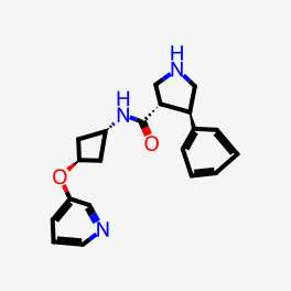 O=C(N[C@H]1C[C@H](Oc2cccnc2)C1)[C@@H]1CNC[C@H]1c1ccccc1